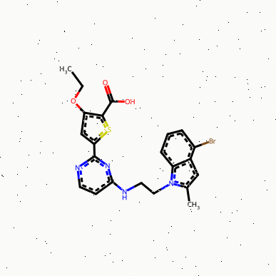 CCOc1cc(-c2nccc(NCCn3c(C)cc4c(Br)cccc43)n2)sc1C(=O)O